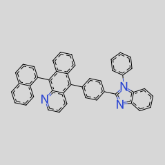 c1ccc(-n2c(-c3ccc(-c4c5ccccc5c(-c5cccc6ccccc56)c5ncccc45)cc3)nc3ccccc32)cc1